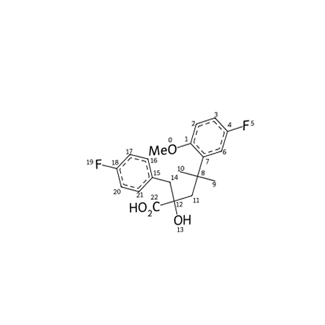 COc1ccc(F)cc1C(C)(C)CC(O)(Cc1ccc(F)cc1)C(=O)O